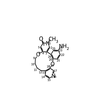 Cn1cc2c(cc1=O)OCCCCc1ccncc1Oc1ccc(N)cc1-2